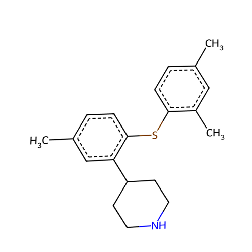 Cc1ccc(Sc2ccc(C)cc2C2CCNCC2)c(C)c1